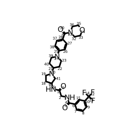 O=C(CNC(=O)c1cccc(C(F)(F)F)c1)N[C@H]1CCN(C2CCN(c3ccc(C(=O)N4CCOCC4)cc3)CC2)C1